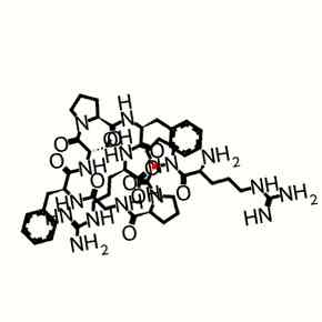 N=C(N)NCCC[C@H](N)C(=O)N1CCCN1C(=O)N1CCC[C@H]1C(=O)NCC(=O)N[C@@H](Cc1ccccc1)C(=O)N[C@@H](CO)C(=O)N1CCC[C@H]1C(=O)N[C@@H](Cc1ccccc1)C(=O)N[C@H](CCCNC(=N)N)C(=O)O